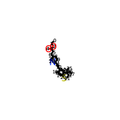 CCOC(=O)CCc1ccc(C#Cc2cc3c(cc2C)SCCC3(CC)CC)nc1